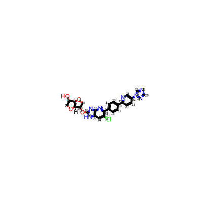 O[C@@H]1CO[C@H]2C1OC[C@H]2Oc1nc2nc(-c3ccc(-c4ccc(-n5cncn5)cn4)cc3)c(Cl)cc2[nH]1